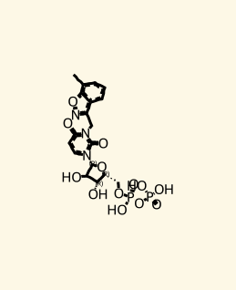 Cc1cccc2c(Cn3c(=O)ccn([C@@H]4O[C@H](COP(=O)(O)OP(=O)(O)O)[C@H](O)C4O)c3=O)noc12